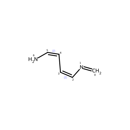 C=N/C=C\C=C/N